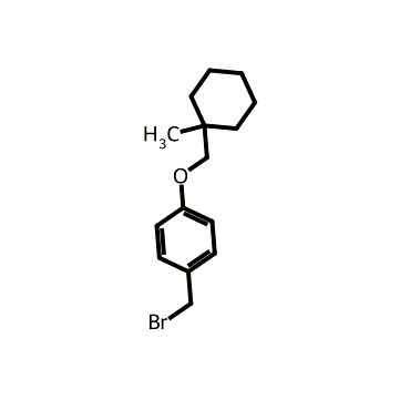 CC1(COc2ccc(CBr)cc2)CCCCC1